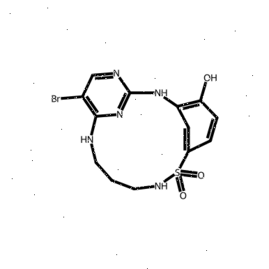 O=S1(=O)NCCCNc2nc(ncc2Br)Nc2cc1ccc2O